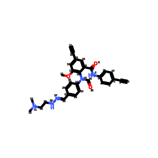 C#Cc1ccc(NC(=O)c2cc(C#C)cc(OC)c2N(C=O)c2ccc(C=NNCCN(C)C)cc2)cc1